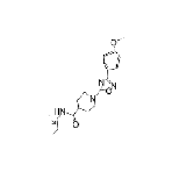 CC[C@H](C)NC(=O)C1CCN(c2nc(-c3ccc(OC)cc3)no2)CC1